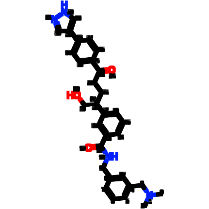 CN(C)Cc1cccc(CNC(=O)c2cccc([C@@H](CO)CCC(=O)c3ccc(-c4cn[nH]c4)cc3)c2)c1